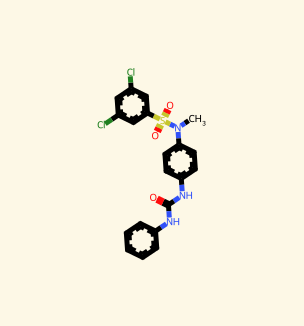 CN(c1ccc(NC(=O)Nc2ccccc2)cc1)S(=O)(=O)c1cc(Cl)cc(Cl)c1